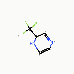 FC(F)(F)[C]1C=NC=CN1